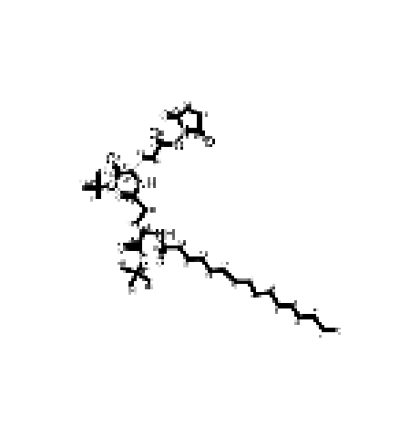 CCCCCCCCCCCCCCCC(=O)N[C@@H](CCC(=O)N[C@@H](CCC(=O)ON1C(=O)CCC1=O)C(=O)OC(C)(C)C)C(=O)OC(C)(C)C